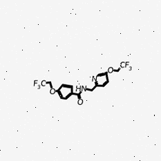 O=C(NCc1ccc(OCC(F)(F)F)cn1)c1ccc(OCC(F)(F)F)cc1